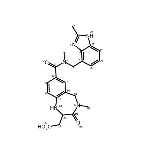 Cc1nc2c(CN(C)C(=O)c3ccc4c(c3)CN(C)C(=O)C(CC(=O)O)N4)cccc2[nH]1